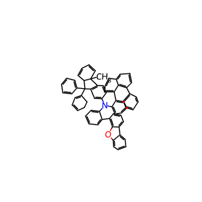 CC12C=CC=CC1C(C1=CC=CCC1)(c1ccccc1)c1cc(N(c3ccccc3-c3cccc4c3oc3ccccc34)c3ccccc3-c3cccc4cccc(-c5ccccc5)c34)ccc12